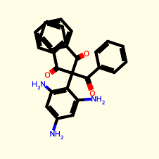 Nc1cc(N)c(C(C(=O)c2ccccc2)(C(=O)c2ccccc2)C(=O)c2ccccc2)c(N)c1